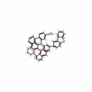 CC(C)(C)c1ccc(-c2ccccc2)c(N(c2cccc(-c3ccc4oc5ccccc5c4c3)c2)c2ccccc2-c2cccc3cccc(C4CCCCC4)c23)c1